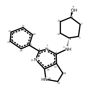 O[C@H]1CC[C@H](Nc2nc(-c3ccccc3)nc3c2CCN3)CC1